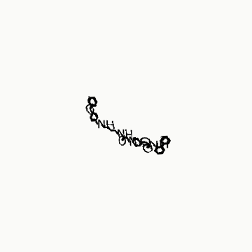 O=C(CCN1CCC(OC(=O)Nc2ccccc2-c2ccccc2)CC1)NCCCCCNCc1ccc(Oc2ccccc2)cc1